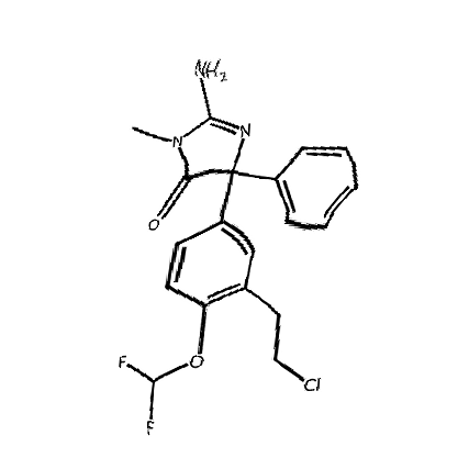 CN1C(=O)C(c2ccccc2)(c2ccc(OC(F)F)c(CCCl)c2)N=C1N